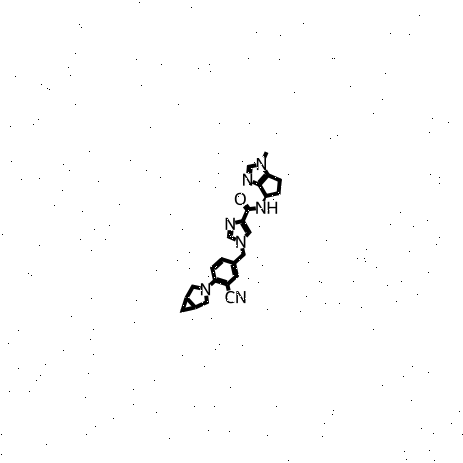 Cn1cnc2c1CC[C@H]2NC(=O)c1cn(Cc2ccc(N3CC4CC4C3)c(C#N)c2)cn1